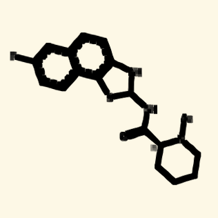 CC(=O)N1CCCC[C@H]1C(=O)NC1Nc2ccc3cc(F)ccc3c2S1